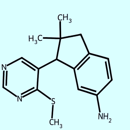 CSc1ncncc1C1c2cc(N)ccc2CC1(C)C